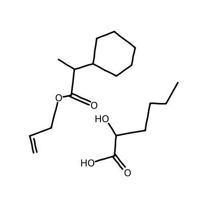 C=CCOC(=O)C(C)C1CCCCC1.CCCCC(O)C(=O)O